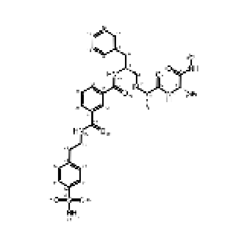 CCNC(=O)[C@@H](NC(=O)[C@H](C)NC[C@H](Cc1ccccc1)NC(=O)c1cccc(C(=O)NCCc2ccc(S(N)(=O)=O)cc2)c1)C(C)C